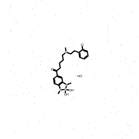 CN(CCCCC(=O)c1ccc2c(c1)N(C)S(O)(O)N2C)CCc1ccccc1Cl.Cl